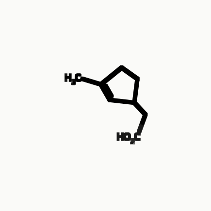 CC1=CC(CC(=O)O)CC1